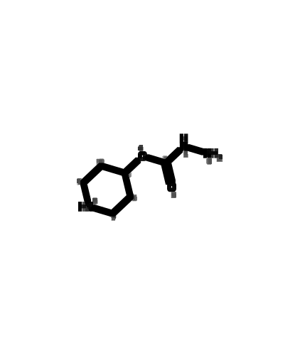 NNC(=O)OC1CCNCC1